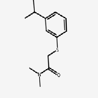 CC(C)c1cccc(SCC(=O)N(C)C)c1